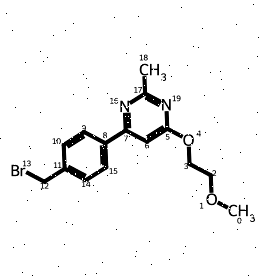 COCCOc1cc(-c2ccc(CBr)cc2)nc(C)n1